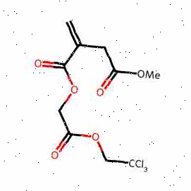 C=C(CC(=O)OC)C(=O)OCC(=O)OCC(Cl)(Cl)Cl